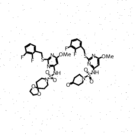 COc1cc(NS(=O)(=O)N2CCC(=O)CC2)nc(SCc2cccc(F)c2F)n1.COc1cc(NS(=O)(=O)N2CCC3(CC2)OCCO3)nc(SCc2cccc(F)c2F)n1